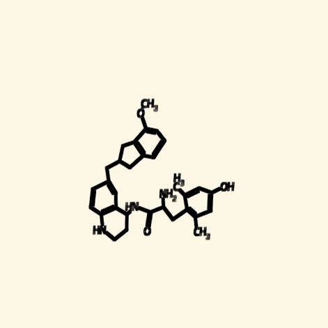 COc1cccc2c1CC(Cc1ccc3c(c1)C(NC(=O)C(N)Cc1c(C)cc(O)cc1C)CCN3)C2